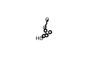 O=CCCCCOc1ccc([C@@H]2c3ccc(O)cc3CC[C@@H]2C2C=CC=CC2)cc1